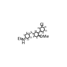 CCNc1ccc(Cc2ccc(OC)c(-c3cccc(Cl)c3)c2)cc1